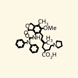 COc1c(C)c2c(c(NC(=O)N(c3ccccc3)c3ccccc3)c1C/C=C(\C)CC(CCN1CCCC1)C(=O)O)C(=O)OC2